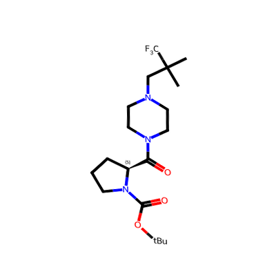 CC(C)(C)OC(=O)N1CCC[C@H]1C(=O)N1CCN(CC(C)(C)C(F)(F)F)CC1